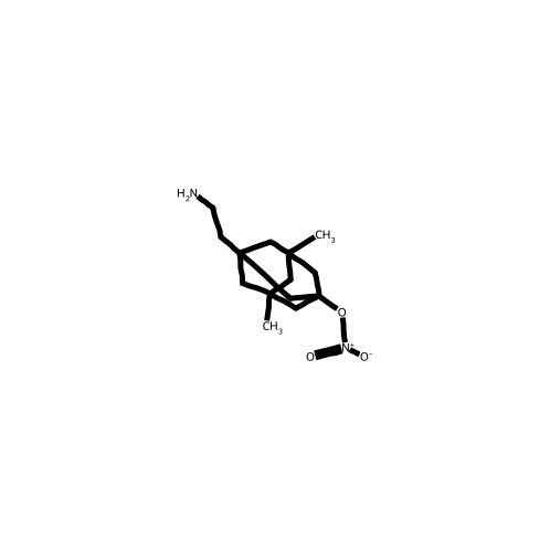 CC12CC3(C)CC(CCN)(C1)CC(O[N+](=O)[O-])(C2)C3